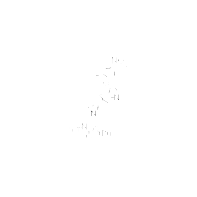 CCCN(CCn1cc(-c2cc3nccc(Oc4ccc([N+](=O)[O-])cc4F)c3s2)cn1)C(=O)OC(C)(C)C